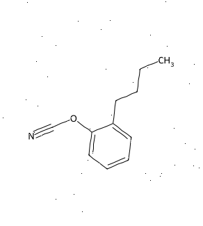 CCCCc1ccccc1OC#N